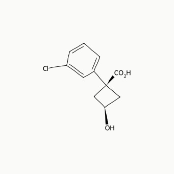 O=C(O)[C@]1(c2cccc(Cl)c2)C[C@H](O)C1